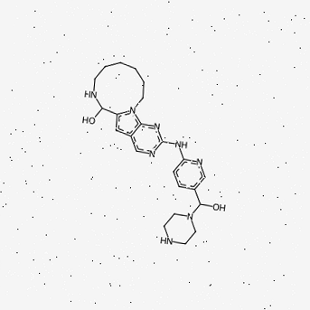 OC1NCCCCCCn2c1cc1cnc(Nc3ccc(C(O)N4CCNCC4)cn3)nc12